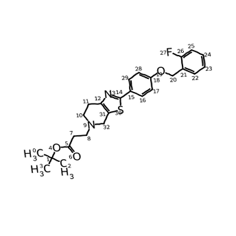 CC(C)(C)OC(=O)CCN1CCc2nc(-c3ccc(OCc4ccccc4F)cc3)sc2C1